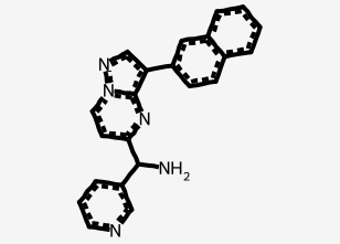 NC(c1cccnc1)c1ccn2ncc(-c3ccc4ccccc4c3)c2n1